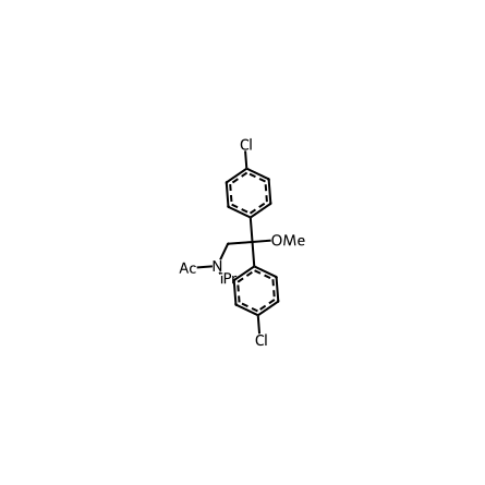 COC(CN(C(C)=O)C(C)C)(c1ccc(Cl)cc1)c1ccc(Cl)cc1